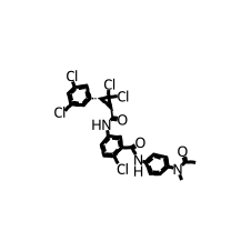 CC(=O)N(C)c1ccc(NC(=O)c2cc(NC(=O)[C@H]3[C@H](c4cc(Cl)cc(Cl)c4)C3(Cl)Cl)ccc2Cl)cc1